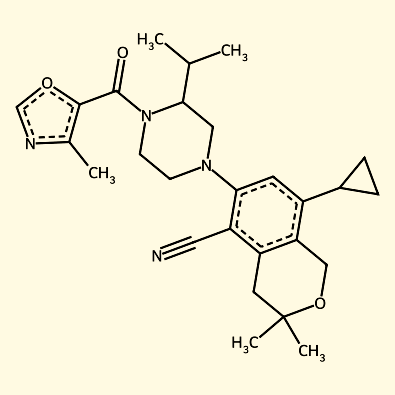 Cc1ncoc1C(=O)N1CCN(c2cc(C3CC3)c3c(c2C#N)CC(C)(C)OC3)CC1C(C)C